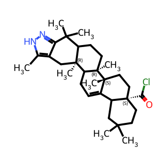 Cc1[nH]nc2c1C[C@@]1(C)C(CC[C@]3(C)C1CC=C1C4CC(C)(C)CC[C@]4(C(=O)Cl)CC[C@]13C)C2(C)C